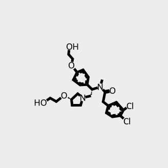 CN(C(=O)Cc1ccc(Cl)c(Cl)c1)[C@H](CN1CC[C@H](OCCO)C1)c1ccc(OCCO)cc1